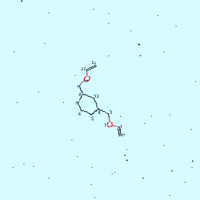 C=COCC1CCCC(COC=C)C1